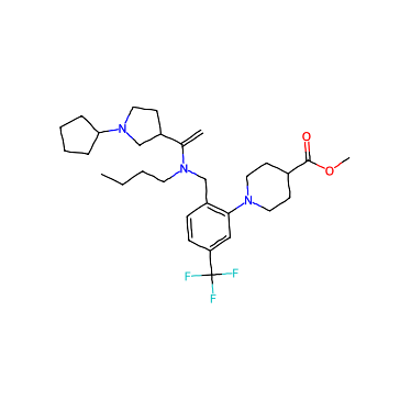 C=C(C1CCN(C2CCCC2)C1)N(CCCC)Cc1ccc(C(F)(F)F)cc1N1CCC(C(=O)OC)CC1